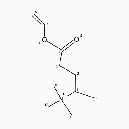 [CH2]C(CCC(=O)OC=C)[N+](C)(C)C